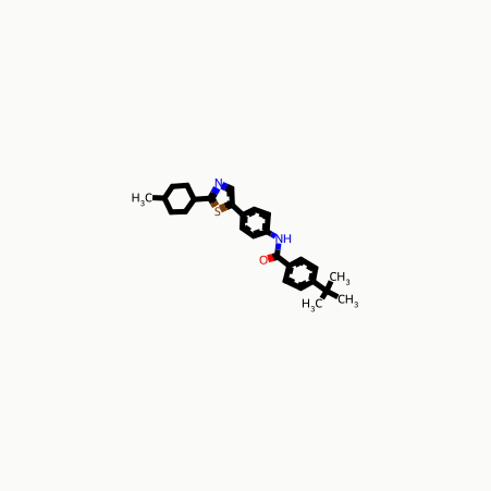 CC1CCC(c2ncc(-c3ccc(NC(=O)c4ccc(C(C)(C)C)cc4)cc3)s2)CC1